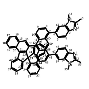 Cc1nc2ccc(-c3cccc4c(-c5cc6ccccc6c6c5C5(c7ccccc7-c7ccccc75)c5ccccc5-6)c5cccc(-c6ccc7nc(C)n(C)c7c6)c5cc34)cc2n1C